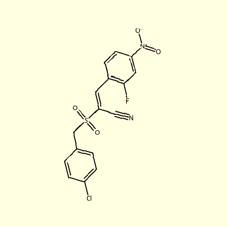 N#CC(=Cc1ccc([N+](=O)[O-])cc1F)S(=O)(=O)Cc1ccc(Cl)cc1